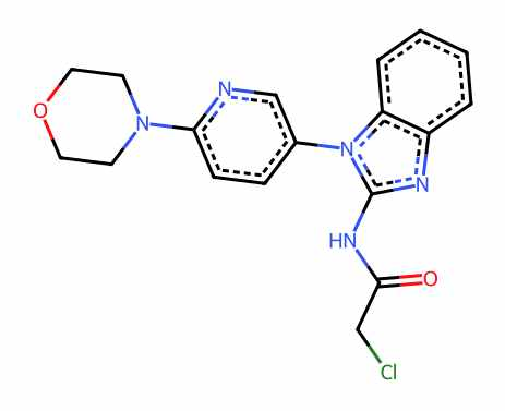 O=C(CCl)Nc1nc2ccccc2n1-c1ccc(N2CCOCC2)nc1